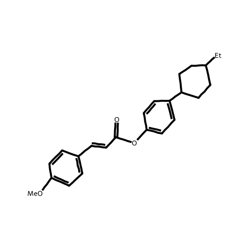 CCC1CCC(c2ccc(OC(=O)/C=C/c3ccc(OC)cc3)cc2)CC1